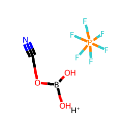 F[P-](F)(F)(F)(F)F.N#COB(O)O.[H+]